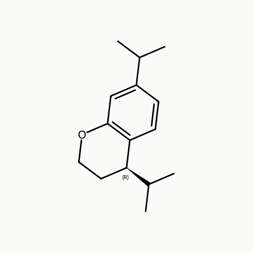 CC(C)c1ccc2c(c1)OCC[C@@H]2C(C)C